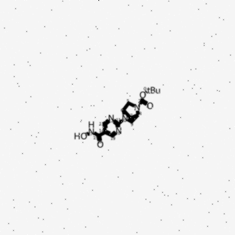 CC(C)(C)OC(=O)N1CC2CC1CN2c1ncc(C(=O)NO)cn1